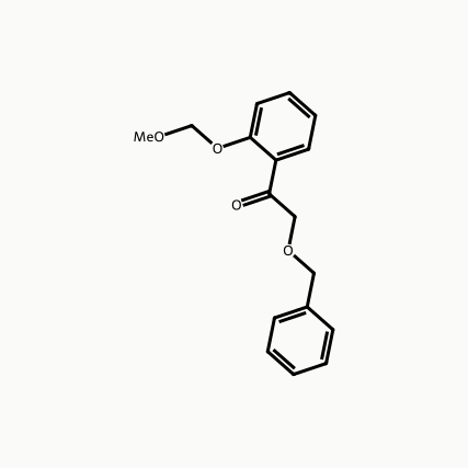 COCOc1ccccc1C(=O)COCc1ccccc1